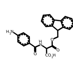 Nc1ccc(C(=O)NC(C(=O)O)C(=O)OCC2c3ccccc3-c3ccccc32)cc1